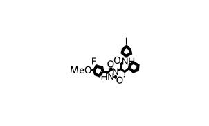 COc1ccc(C2NC(=O)N(C(C(=O)Nc3ccc(I)cc3)[C@@H](C)c3ccccc3)C2=O)cc1F